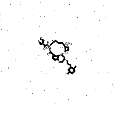 CO[C@H]1/C=C/C[C@H](C)CS(=O)(NC(=O)c2cnoc2)=NC(=O)c2ccc3c(c2)N(C[C@@H](CCCc2cc(Cl)ccc2C)CO3)C[C@@H]2CC[C@H]21